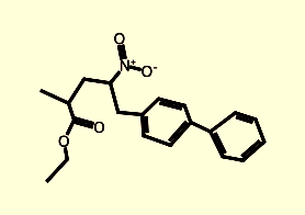 CCOC(=O)C(C)CC(Cc1ccc(-c2ccccc2)cc1)[N+](=O)[O-]